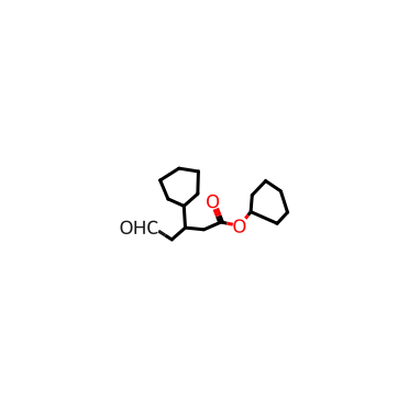 O=CCC(CC(=O)OC1CCCCC1)C1CCCCC1